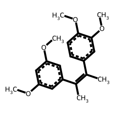 COc1cc(OC)cc(C(C)=C(C)c2ccc(OC)c(OC)c2)c1